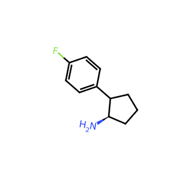 N[C@@H]1CCCC1c1ccc(F)cc1